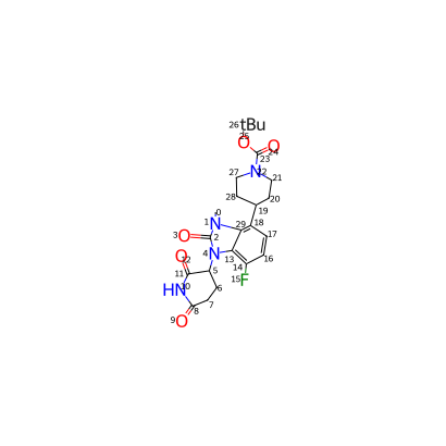 Cn1c(=O)n(C2CCC(=O)NC2=O)c2c(F)ccc(C3CCN(C(=O)OC(C)(C)C)CC3)c21